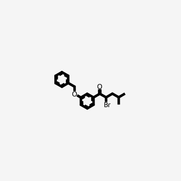 CC(C)CC(Br)C(=O)c1cccc(OCc2ccccc2)c1